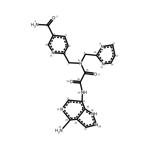 NC(=O)c1ccc(CN(Cc2ncccn2)C(=O)C(=O)Nc2cnc(N)c3cn[nH]c23)nc1